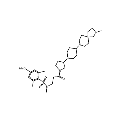 COc1cc(C)c(S(=O)(=O)N(C)CCC(=O)N2CCC(N3CCC(N4CCC5(CCN(C)C5)CC4)CC3)C2)c(C)c1